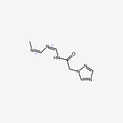 C/N=C\N=C/NC(=O)Cn1cncn1